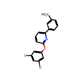 O=C(O)c1cccc(-c2cccc(Oc3cc(Cl)cc(Cl)c3)n2)c1